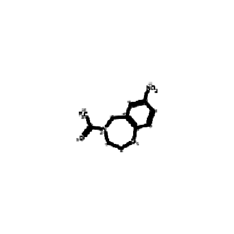 O=C(N1CCOc2ccc([N+](=O)[O-])cc2C1)C(F)(F)F